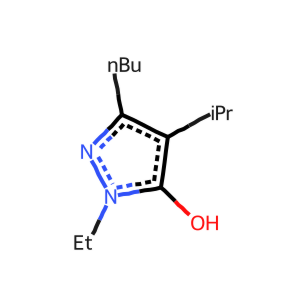 CCCCc1nn(CC)c(O)c1C(C)C